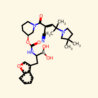 CC1(C)CCN(C(C)(C)C=C(C#N)C(=O)N2CCC[C@H](OC(=O)NC(Cc3coc4ccccc34)B(O)O)C2)C1